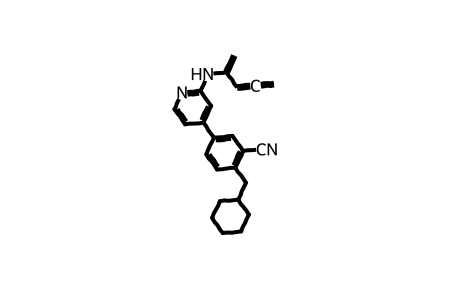 C=C=CC(=C)Nc1cc(-c2ccc(CC3CCCCC3)c(C#N)c2)ccn1